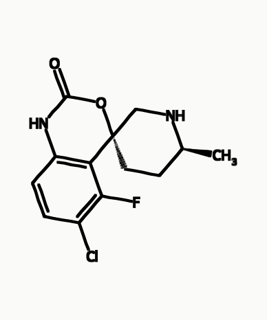 C[C@H]1CC[C@@]2(CN1)OC(=O)Nc1ccc(Cl)c(F)c12